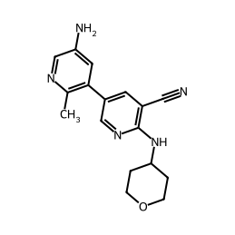 Cc1ncc(N)cc1-c1cnc(NC2CCOCC2)c(C#N)c1